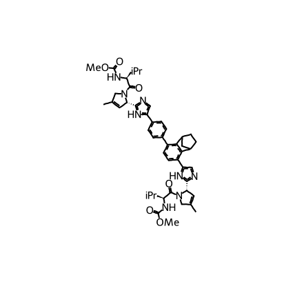 COC(=O)N[C@H](C(=O)N1CC(C)=C[C@H]1c1ncc(-c2ccc(-c3ccc(-c4cnc([C@@H]5C=C(C)CN5C(=O)[C@@H](NC(=O)OC)C(C)C)[nH]4)c4c3C3CCC4C3)cc2)[nH]1)C(C)C